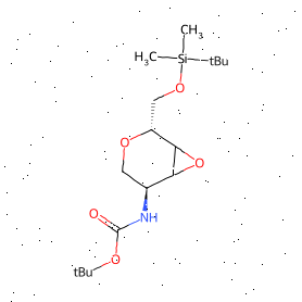 CC(C)(C)OC(=O)N[C@H]1CO[C@H](CO[Si](C)(C)C(C)(C)C)C2OC21